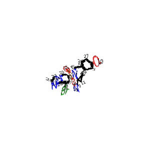 COc1ccc(CN(C2(C#N)CC2)S(=O)(=O)c2cc(Br)c3nccn3c2)cc1